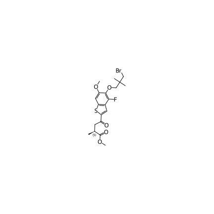 COC(=O)[C@@H](C)CC(=O)c1cc2c(F)c(OCC(C)(C)CBr)c(OC)cc2s1